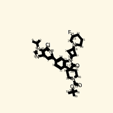 CC(C)n1cnc2cc(-c3ccc4c(c3)N(C3CC(N5CCC[C@@H](F)C5)C3)C(=O)C43CCN(C(=O)OC(C)(C)C)CC3)nc(Cl)c21